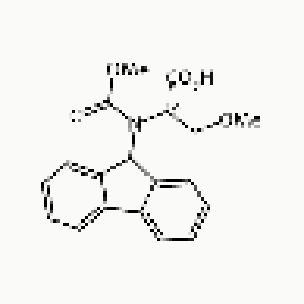 COC[C@@H](C(=O)O)N(C(=O)OC)C1c2ccccc2-c2ccccc21